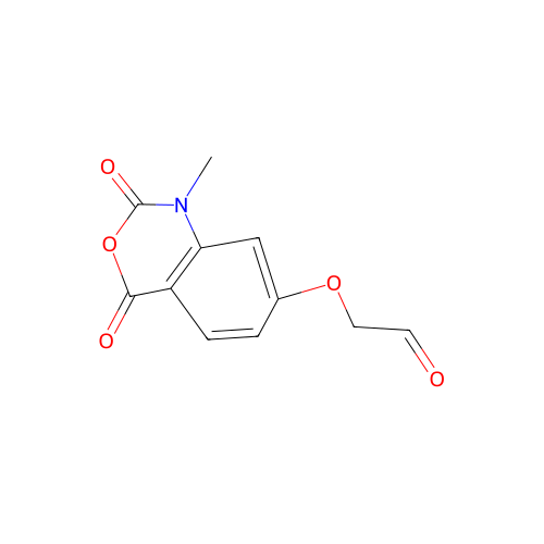 Cn1c(=O)oc(=O)c2ccc(OCC=O)cc21